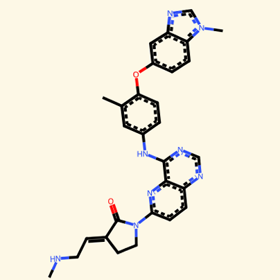 CNC/C=C1\CCN(c2ccc3ncnc(Nc4ccc(Oc5ccc6c(c5)ncn6C)c(C)c4)c3n2)C1=O